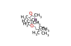 CC(I)C(=O)C(C)C(C)(C)C(C)(C)OCCC(C)(C)C(C)C